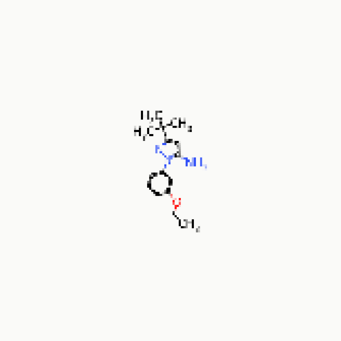 CCOc1cccc(-n2nc(C(C)(C)C)cc2N)c1